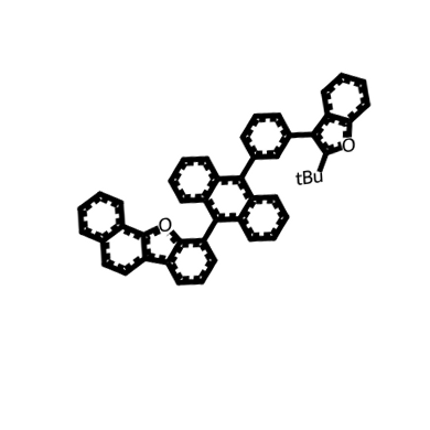 CC(C)(C)c1oc2ccccc2c1-c1cccc(-c2c3ccccc3c(-c3cccc4c3oc3c5ccccc5ccc43)c3ccccc23)c1